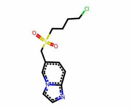 O=S(=O)(CCCCCl)Cc1ccc2nccn2c1